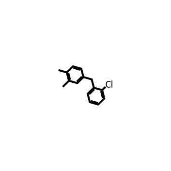 Cc1ccc(Cc2ccccc2Cl)cc1C